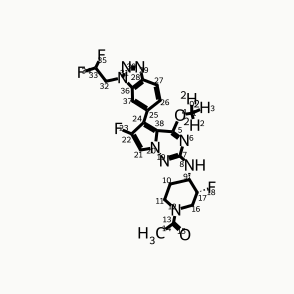 [2H]C([2H])([2H])Oc1nc(N[C@H]2CCN(C(C)=O)C[C@H]2F)nn2cc(F)c(-c3ccc4nnn(CC(F)F)c4c3)c12